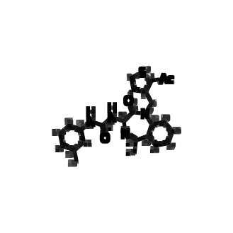 CC(=O)c1sccc1CN1C(=O)C(NC(=O)Nc2cccc(C)c2)N=C(C)c2ccccc21